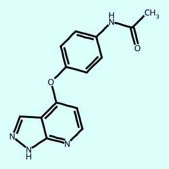 CC(=O)Nc1ccc(Oc2ccnc3[nH]ncc23)cc1